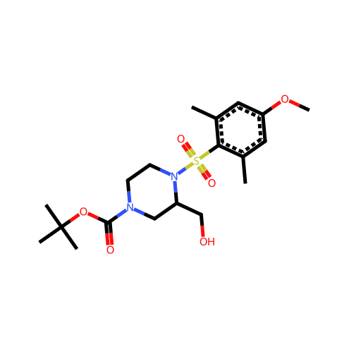 COc1cc(C)c(S(=O)(=O)N2CCN(C(=O)OC(C)(C)C)CC2CO)c(C)c1